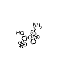 CN(C)S(=O)(=O)c1cccc(Oc2ccccc2S(=O)(=O)CC(F)=CCN)c1.Cl